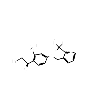 COc1cc(OCc2cccnc2C(F)(F)F)ccc1C(=O)CBr